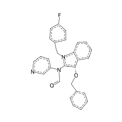 O=CN(c1cccnc1)c1c(OCc2ccccc2)c2ccccc2n1Cc1ccc(F)cc1